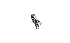 CCc1cc(CN2C(=O)N(c3ccc(SC(F)(F)F)cc3)C(=O)C2(C)C)ccn1